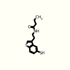 CCCC(=O)NCCc1csc2ccc(S)cc12